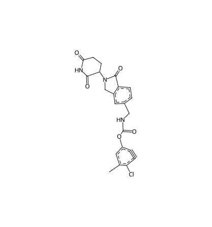 Cc1cc(OC(=O)NCc2ccc3c(c2)CN(C2CCC(=O)NC2=O)C3=O)c#cc1Cl